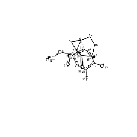 COC(=O)[C@]12C[C@@]1(c1ccc(F)c(Cl)c1)CCNC2=O